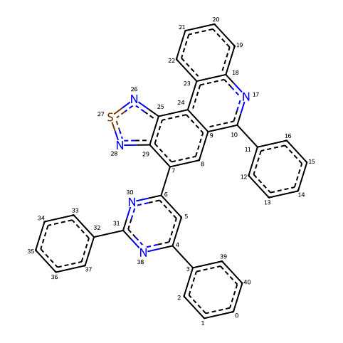 c1ccc(-c2cc(-c3cc4c(-c5ccccc5)nc5ccccc5c4c4nsnc34)nc(-c3ccccc3)n2)cc1